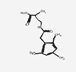 COC(=O)C(C)CNC(=O)Cc1c(C)cc(C)cc1OC